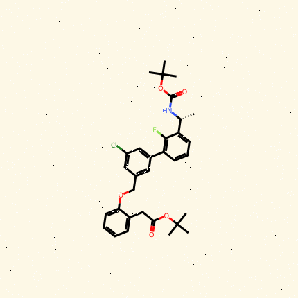 C[C@@H](NC(=O)OC(C)(C)C)c1cccc(-c2cc(Cl)cc(COc3ccccc3CC(=O)OC(C)(C)C)c2)c1F